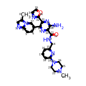 Cc1cnc2ccc(-c3nc(C(=O)NCc4cccc(N5CCN(C)CC5)n4)c(N)nc3-c3ncco3)cn12